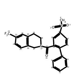 CS(=O)(=O)c1ccc(-c2ccccc2)c(C(=O)N2CCc3cc(C(F)(F)F)ccc3C2)c1